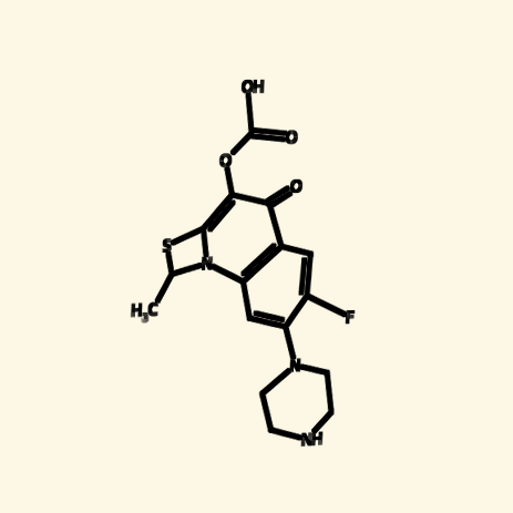 CC1Sc2c(OC(=O)O)c(=O)c3cc(F)c(N4CCNCC4)cc3n21